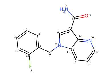 NC(=O)c1cn(Cc2ccccc2F)c2cccnc12